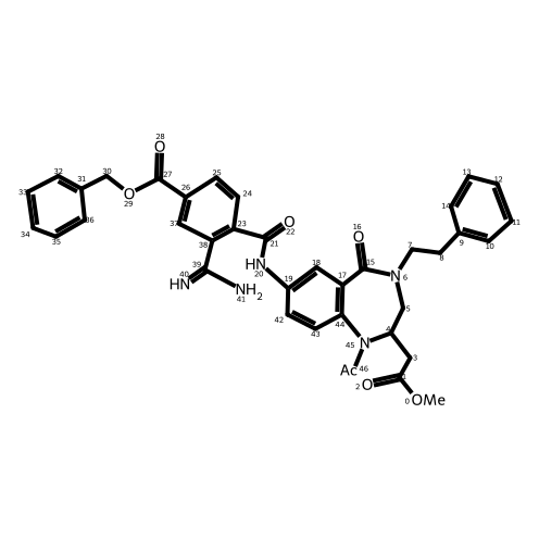 COC(=O)CC1CN(CCc2ccccc2)C(=O)c2cc(NC(=O)c3ccc(C(=O)OCc4ccccc4)cc3C(=N)N)ccc2N1C(C)=O